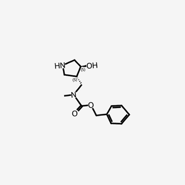 CN(C[C@@H]1CNC[C@H]1O)C(=O)OCc1ccccc1